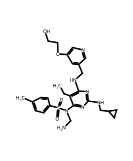 CCc1c(NCc2cncc(OCCO)c2)nc(NCC2CC2)nc1N(CN)S(=O)(=O)c1ccc(C)cc1